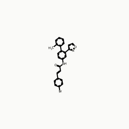 Cc1ccccc1-c1ccc(NC(=O)C=Cc2ccc(Br)cc2)cc1-c1ccon1